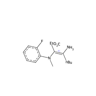 CCCC/C(N)=C(/C(=O)OCC)N(C)c1ccccc1F